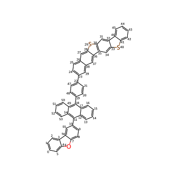 c1ccc2c(c1)oc1ccc(-c3c4ccccc4c(-c4ccc(-c5ccc6cc7sc8cc9c(cc8c7cc6c5)sc5ccccc59)cc4)c4ccccc34)cc12